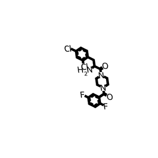 NC(Cc1ccc(Cl)cc1Cl)C(=O)N1CCN(C(=O)c2cc(F)ccc2F)CC1